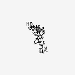 Cc1cncc(-c2ccc(-c3cc4cnc(S(C)(=O)=O)nc4n(CC4CCC(NC(=O)O)CC4)c3=O)c(Cl)c2)n1